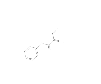 C=CC(=C)C(=O)Nc1ccccc1